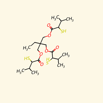 CCC(COC(=O)C(S)C(C)C)(COC(=O)C(S)C(C)C)COC(=O)C(S)C(C)C